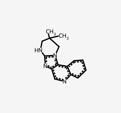 CC1(C)CNc2nc3cnc4ccccc4c3n2C1